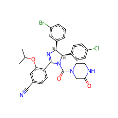 CC(C)Oc1cc(C#N)ccc1C1=N[C@@H](c2cccc(Br)c2)[C@@H](c2ccc(Cl)cc2)N1C(=O)N1CCNC(=O)C1